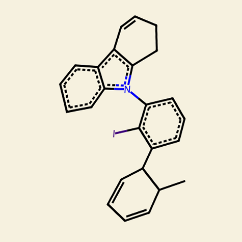 CC1C=CC=CC1c1cccc(-n2c3c(c4ccccc42)C=CCC3)c1I